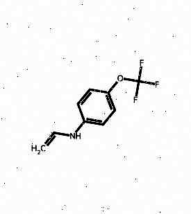 C=[C]Nc1ccc(OC(F)(F)F)cc1